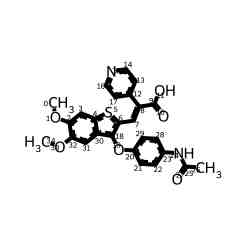 COc1cc2sc(/C=C(/C(=O)O)c3ccncc3)c(Oc3ccc(NC(C)=O)cc3)c2cc1OC